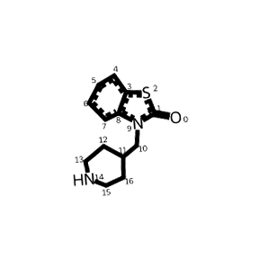 O=c1sc2ccccc2n1CC1CCNCC1